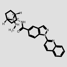 CPN1[C@H]2CC[C@@H]1[C@H](NC(=O)c1ccc3c(cnn3-c3ccc4ccccc4n3)c1)C2